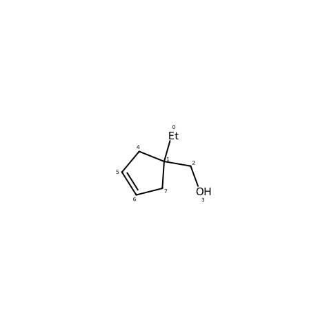 CCC1(CO)CC=CC1